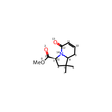 COC(=O)[C@@H]1CC(C)(C)C2CC=CC(=O)N21